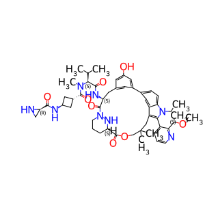 CCn1c(-c2cccnc2[C@H](C)OC)c2c3cc(ccc31)-c1cc(O)cc(c1)C[C@H](NC(=O)[C@H](C(C)C)N(C)C(=O)[C@H]1C[C@H](NC(=O)[C@H]3CN3)C1)C(=O)N1CCC[C@H](N1)C(=O)OCC(C)(C)C2